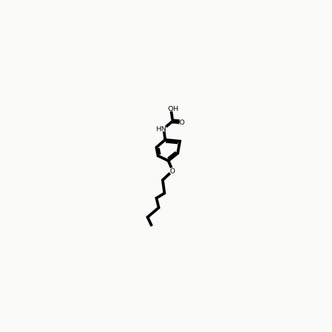 CCCCCCOc1ccc(NC(=O)O)cc1